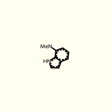 CNc1cccc2cc[nH]c12